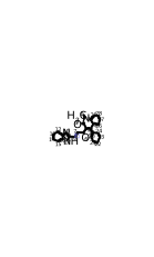 Cn1c(=O)c(C(=O)/C=C/c2nc3ccccc3[nH]2)c(-c2ccccc2)c2ccccc21